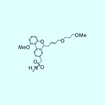 COCCCOC/C=C/CC1Oc2cccc(OC)c2-c2ccc(CS(N)(=O)=O)cc21